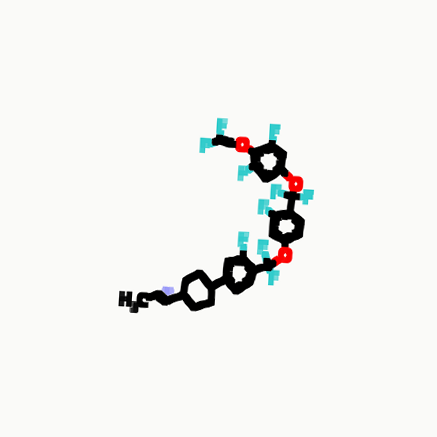 C/C=C/C1CCC(c2ccc(C(F)(F)Oc3ccc(C(F)(F)Oc4cc(F)c(OC=C(F)F)c(F)c4)c(F)c3)c(F)c2)CC1